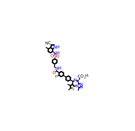 Cc1sc2c(c1C)C(c1ccc(-c3ccc(C(=O)NCc4ccc(S(=O)(=O)Nc5ccc(C)c6c(C#N)c[nH]c56)cc4)c(F)c3)cc1)=N[C@@H](CC(=O)O)c1nnc(C)n1-2